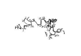 O=C(O)c1cccc(CCc2ccc(NS(=O)(=O)c3cc(C(F)(F)F)cc(C(F)(F)F)c3)cc2)c1